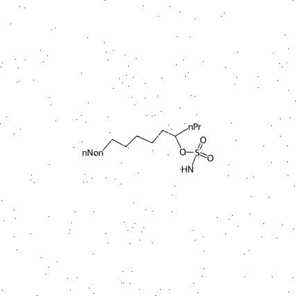 CCCCCCCCCCCCCCC(CCC)OS([NH])(=O)=O